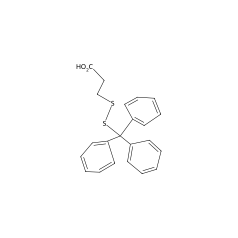 O=C(O)CCSSC(c1ccccc1)(c1ccccc1)c1ccccc1